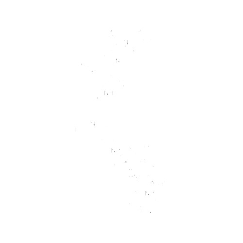 CN(CCCNC1=CC(=O)c2sc(C(=O)N3CCOCC3)nc2C1=O)CCCNC1=CC(=O)c2sc(C(=O)N3CCOCC3)nc2C1=O